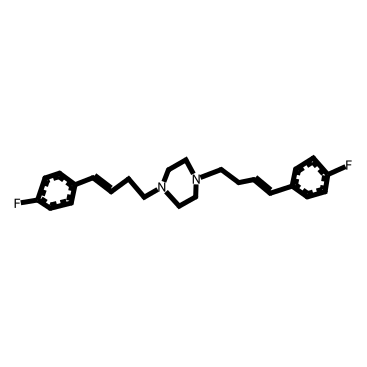 Fc1ccc(/C=C/CCN2CCN(CC/C=C/c3ccc(F)cc3)CC2)cc1